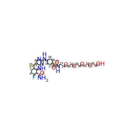 NC(=O)c1c(F)cccc1Nc1nc(Nc2ccc(S(=O)(=O)NCCOCCOCCOCCOCCO)cc2)ncc1Br